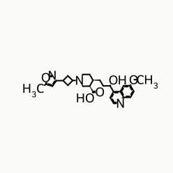 COc1ccc2nccc(C(O)CC[C@@H]3CCN(C4CC(c5cc(C)on5)C4)C[C@@H]3C(=O)O)c2c1